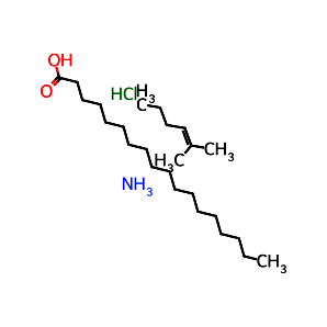 CCCC=C(C)C.CCCCCCCCCCCCCCCCCC(=O)O.Cl.N